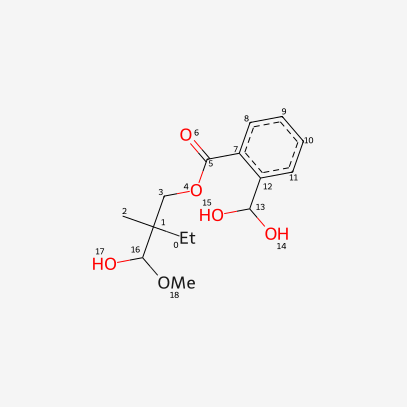 CCC(C)(COC(=O)c1ccccc1C(O)O)C(O)OC